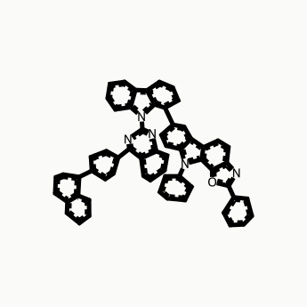 c1ccc(-c2nc3ccc4c5cc(-c6cccc7c8ccccc8n(-c8nc(-c9ccc(-c%10cccc%11ccccc%10%11)cc9)c9ccccc9n8)c67)ccc5n(-c5ccccc5)c4c3o2)cc1